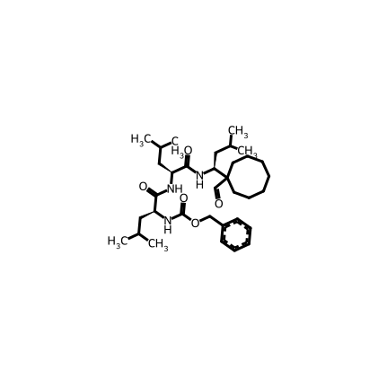 CC(C)C[C@H](NC(=O)OCc1ccccc1)C(=O)N[C@@H](CC(C)C)C(=O)N[C@@H](CC(C)C)C1(C=O)CCCCCCC1